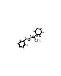 C/C(=N\OCc1ccccc1)C1CCCCC1